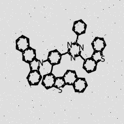 c1ccc(-c2nc(-c3ccc(-n4c5ccccc5c5cc6ccccc6cc54)c(-c4cccc5sc6c7ccccc7ccc6c45)c3)nc(-c3cccc4sc5ccccc5c34)n2)cc1